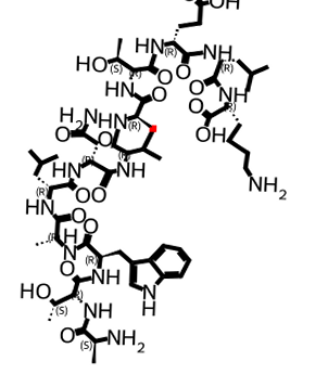 CC(C)C[C@@H](NC(=O)[C@@H](C)NC(=O)[C@@H](Cc1c[nH]c2ccccc12)NC(=O)[C@H](NC(=O)[C@H](C)N)[C@H](C)O)C(=O)N[C@H](CC(N)=O)C(=O)N[C@@H](C(=O)N[C@H](C)C(=O)N[C@@H](C(=O)N[C@H](CCC(=O)O)C(=O)N[C@H](CC(C)C)C(=O)N[C@H](CCCCN)C(=O)O)[C@H](C)O)C(C)C